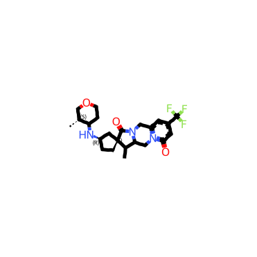 CC1C2Cn3c(cc(C(F)(F)F)cc3=O)CN2C(=O)[C@]12CC[C@@H](NC1CCOC[C@H]1C)C2